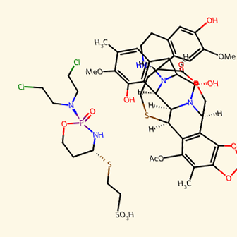 COc1cc2c(cc1O)CCN[C@]21CCS[C@@H]2c3c(OC(C)=O)c(C)c4c(c3[C@H](COC1=O)N1[C@@H]2[C@H]2c3c(cc(C)c(OC)c3O)C[C@@H]([C@@H]1O)N2C)OCO4.O=[P@]1(N(CCCl)CCCl)N[C@H](SCCS(=O)(=O)O)CCO1